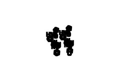 O=C(Nc1cccc(-c2cnn3c(-c4ccccc4)cnc3n2)c1)N1CCCC1.O=C(Nc1cccc(-c2cnn3c(N4CCOCC4)cnc3n2)c1)N1CCCC1